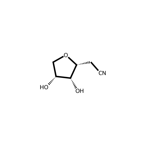 N#CC[C@H]1OC[C@@H](O)[C@H]1O